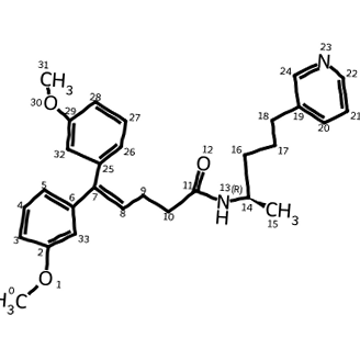 COc1cccc(C(=CCCC(=O)N[C@H](C)CCCc2cccnc2)c2cccc(OC)c2)c1